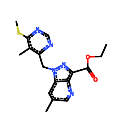 CCOC(=O)c1nn(Cc2ncnc(SC)c2C)c2cc(C)cnc12